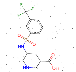 O=C(O)C1CNCC(NS(=O)(=O)c2cccc(C(F)(F)F)c2)C1